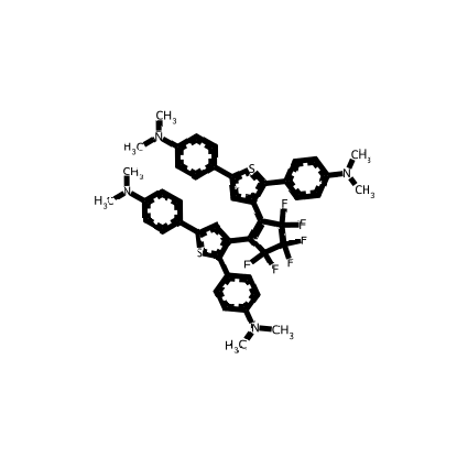 CN(C)c1ccc(-c2cc(C3=C(c4cc(-c5ccc(N(C)C)cc5)sc4-c4ccc(N(C)C)cc4)C(F)(F)C(F)(F)C3(F)F)c(-c3ccc(N(C)C)cc3)s2)cc1